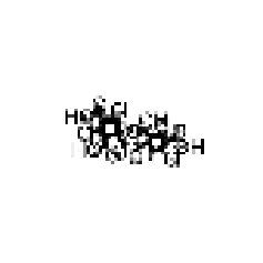 O=C(OC(=O)c1cc(Cl)c(C(=O)O)c(Cl)c1C(=O)O)c1cc(Cl)c(C(=O)O)c(Cl)c1C(=O)O